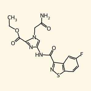 CCOC(=O)c1nc(NC(=O)c2nsc3ccc(F)cc23)cn1CC(N)=O